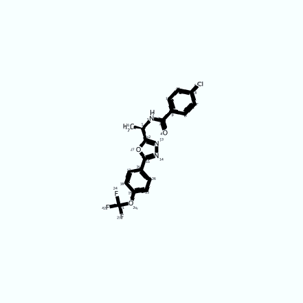 C[C@@H](NC(=O)c1ccc(Cl)cc1)c1nnc(-c2ccc(OC(F)(F)F)cc2)o1